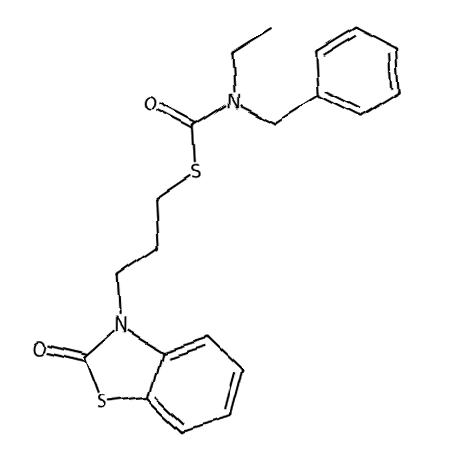 CCN(Cc1ccccc1)C(=O)SCCCn1c(=O)sc2ccccc21